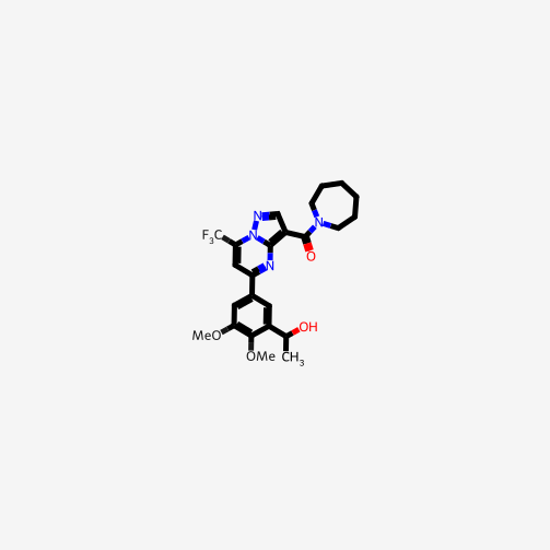 COc1cc(-c2cc(C(F)(F)F)n3ncc(C(=O)N4CCCCCC4)c3n2)cc(C(C)O)c1OC